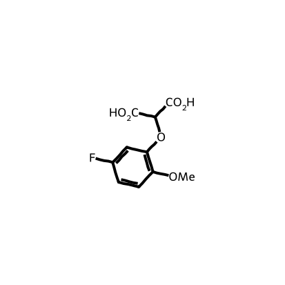 COc1ccc(F)cc1OC(C(=O)O)C(=O)O